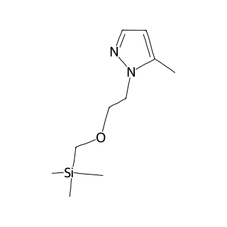 Cc1ccnn1CCOC[Si](C)(C)C